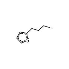 [CH]CCCc1cccs1